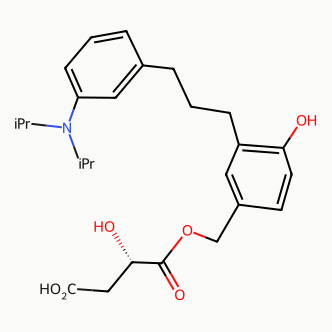 CC(C)N(c1cccc(CCCc2cc(COC(=O)[C@@H](O)CC(=O)O)ccc2O)c1)C(C)C